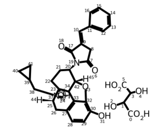 O=C(O)C(O)C(O)C(=O)O.O=C1CC(=Cc2ccccc2)C(=O)N1[C@@H]1CCC2(O)[C@H]3Cc4ccc(O)c5c4[C@@]2(CCN3CC2CC2)[C@H]1O5